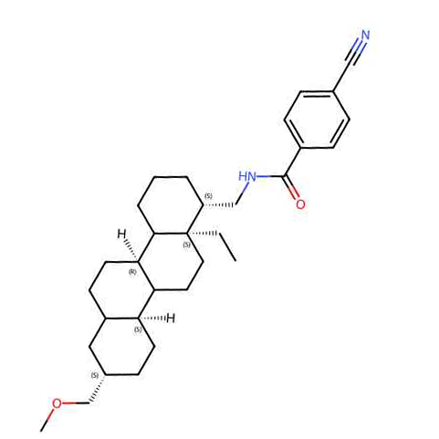 CC[C@]12CCC3[C@@H](CCC4C[C@@H](COC)CC[C@@H]43)C1CCC[C@@H]2CNC(=O)c1ccc(C#N)cc1